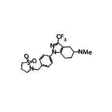 CNC1CCc2c(c(C(F)(F)F)nn2-c2ccc(CN3CCCS3(=O)=O)cc2)C1